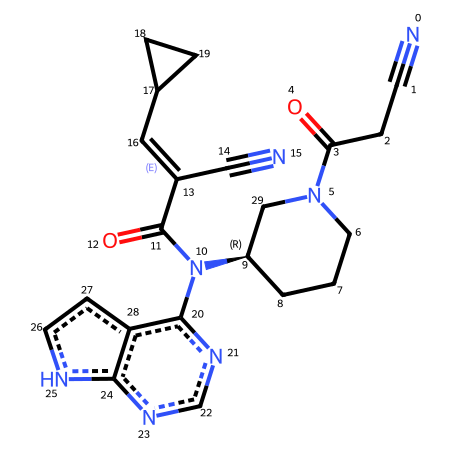 N#CCC(=O)N1CCC[C@@H](N(C(=O)/C(C#N)=C/C2CC2)c2ncnc3[nH]ccc23)C1